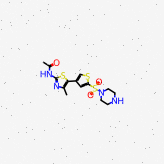 CC(=O)Nc1nc(C)c(-c2csc(S(=O)(=O)N3CCNCC3)c2)s1